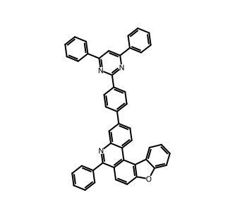 c1ccc(-c2cc(-c3ccccc3)nc(-c3ccc(-c4ccc5c(c4)nc(-c4ccccc4)c4ccc6oc7ccccc7c6c45)cc3)n2)cc1